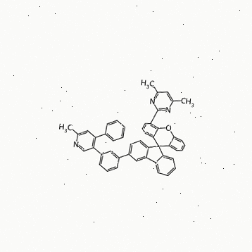 Cc1cc(-c2ccccc2)c(-c2cccc(-c3ccc4c(c3)-c3ccccc3C43c4ccccc4Oc4c(-c5nc(C)cc(C)n5)cccc43)c2)cn1